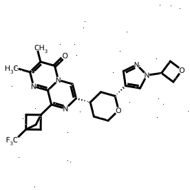 Cc1nc2c(C34CC(C(F)(F)F)(C3)C4)nc([C@H]3CCO[C@@H](c4cnn(C5COC5)c4)C3)cn2c(=O)c1C